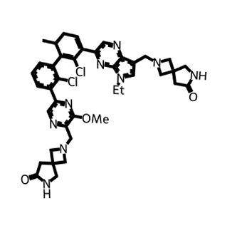 CCn1cc(CN2CC3(CNC(=O)C3)C2)c2ncc(C3=CCC(C)C(c4cccc(-c5cnc(CN6CC7(CNC(=O)C7)C6)c(OC)n5)c4Cl)=C3Cl)nc21